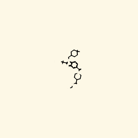 CCNC(=O)C1CCN(C(=O)c2ccc3c(c2)nc(C(C)(C)C)n3CC2CCC(F)(F)CC2)CC1